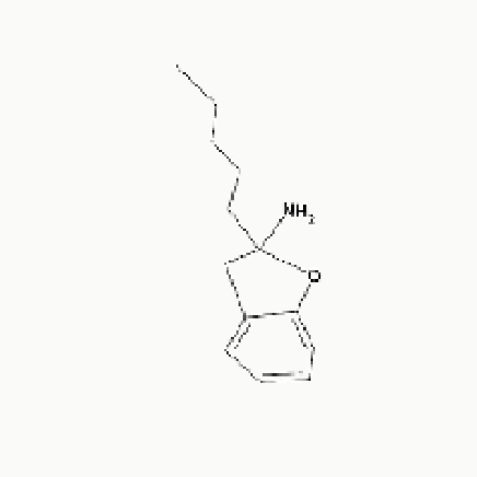 CCCCCC1(N)Cc2ccccc2O1